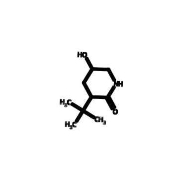 CC(C)(C)C1CC(O)CNC1=O